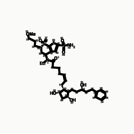 CCN(C(=O)CCC/C=C\C[C@@H]1C(CC[C@H](O)CCc2ccccc2)[C@H](O)C[C@@H]1O)C1CN(CCCOC)S(=O)(=O)c2sc(S(N)(=O)=O)cc21